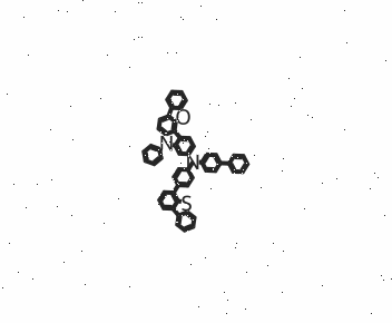 C1=CC(N(c2ccc(-c3ccccc3)cc2)c2ccc3c4c5oc6ccccc6c5ccc4n(-c4ccccc4)c3c2)CC=C1c1cccc2c1sc1ccccc12